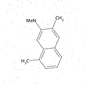 CNc1cc2c(C)cccc2cc1C